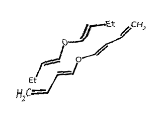 C=CC=COC=CC=C.CCC=COC=CCC